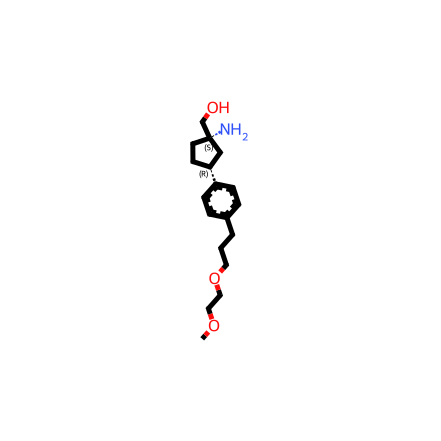 COCCOCCCc1ccc([C@@H]2CC[C@@](N)(CO)C2)cc1